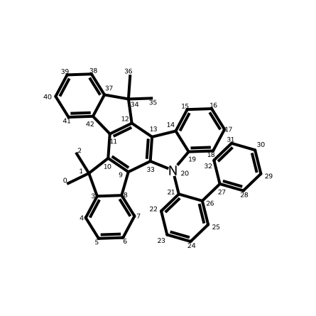 CC1(C)c2ccccc2-c2c1c1c(c3c4ccccc4n(-c4ccccc4-c4ccccc4)c23)C(C)(C)c2ccccc2-1